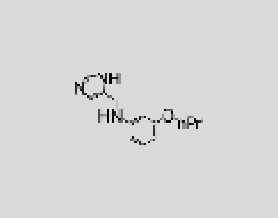 CCCOc1cccc(NCc2cnc[nH]2)c1